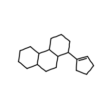 C1=C(C2CCCC3C4CCCCC4CCC23)CCC1